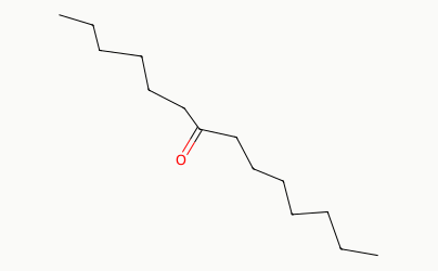 CCCCCCCC(=O)CCCCCC